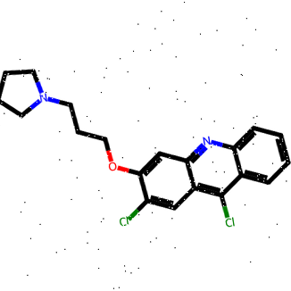 Clc1cc2c(Cl)c3ccccc3nc2cc1OCCCN1CCCC1